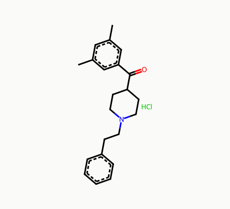 Cc1cc(C)cc(C(=O)C2CCN(CCc3ccccc3)CC2)c1.Cl